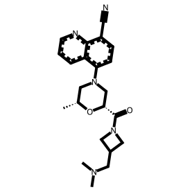 C[C@@H]1CN(c2ccc(C#N)c3ncccc23)C[C@H](C(=O)N2CC(CN(C)C)C2)O1